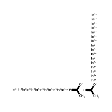 CC(=O)[O-].CC(=O)[O-].[In+3].[In+3].[In+3].[In+3].[In+3].[In+3].[In+3].[In+3].[In+3].[In+3].[In+3].[In+3].[In+3].[In+3].[In+3].[In+3].[In+3].[In+3].[In+3].[In+3].[In+3].[In+3].[In+3].[In+3].[In+3].[In+3].[In+3].[In+3].[In+3]